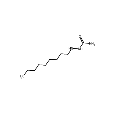 CCCCCCCCCNNC(N)=O